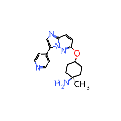 C[C@]1(N)CC[C@H](Oc2ccc3ncc(-c4ccncc4)n3n2)CC1